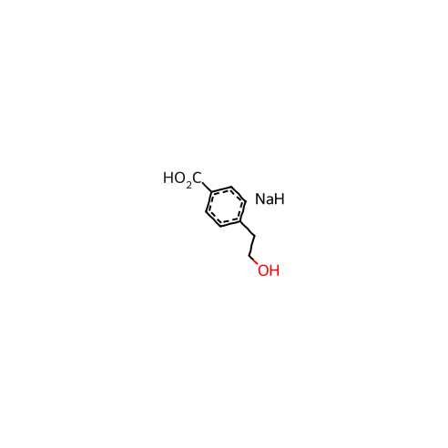 O=C(O)c1ccc(CCO)cc1.[NaH]